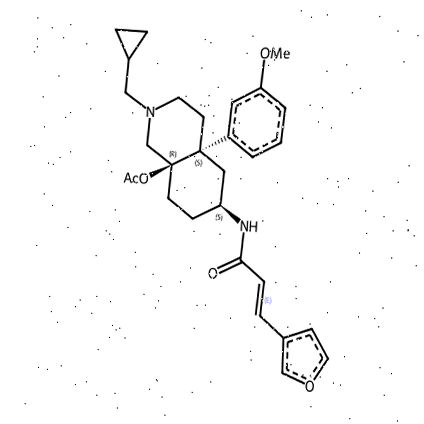 COc1cccc([C@@]23CCN(CC4CC4)C[C@@]2(OC(C)=O)CC[C@H](NC(=O)/C=C/c2ccoc2)C3)c1